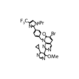 COc1ncnc(C2CC2)c1-c1ncc2cc(Br)c(=O)n(Cc3ccc(-c4nc(C(F)(F)F)cn4C(C)C)cc3)c2n1